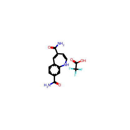 NC(=O)C1=Cc2ccc(C(N)=O)cc2NC=C1.O=C(O)C(F)(F)F